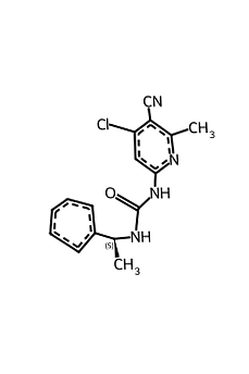 Cc1nc(NC(=O)N[C@@H](C)c2ccccc2)cc(Cl)c1C#N